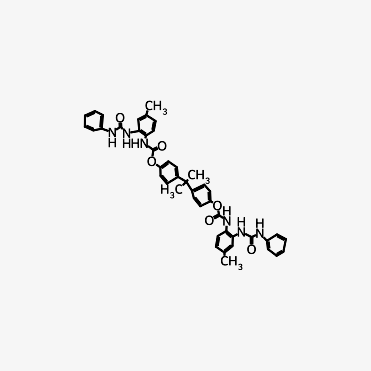 Cc1ccc(NC(=O)Oc2ccc(C(C)(C)c3ccc(OC(=O)Nc4ccc(C)cc4NC(=O)Nc4ccccc4)cc3)cc2)c(NC(=O)Nc2ccccc2)c1